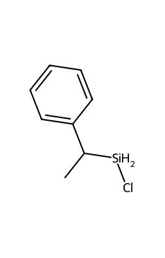 CC([SiH2]Cl)c1ccccc1